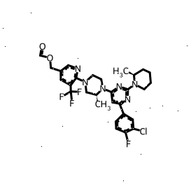 C[C@@H]1CN(c2ncc(COC=O)cc2C(F)(F)F)CCN1c1cc(-c2ccc(F)c(Cl)c2)nc(N2CCCC[C@@H]2C)n1